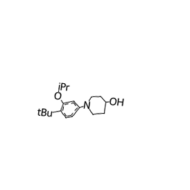 CC(C)Oc1cc(N2CCC(O)CC2)ccc1C(C)(C)C